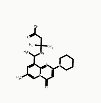 Cc1cc(C(C)NC(C)(C)CC(=O)O)c2nc(N3CCCCC3)cc(=O)n2c1